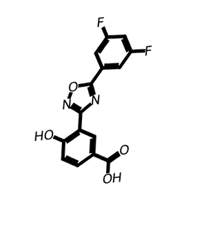 O=C(O)c1ccc(O)c(-c2noc(-c3cc(F)cc(F)c3)n2)c1